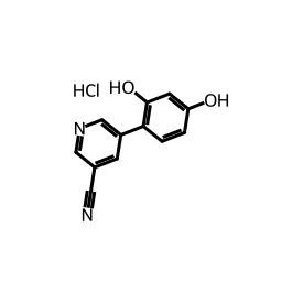 Cl.N#Cc1cncc(-c2ccc(O)cc2O)c1